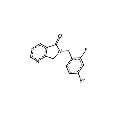 O=C1c2cccnc2CN1Cc1ccc(Br)cc1F